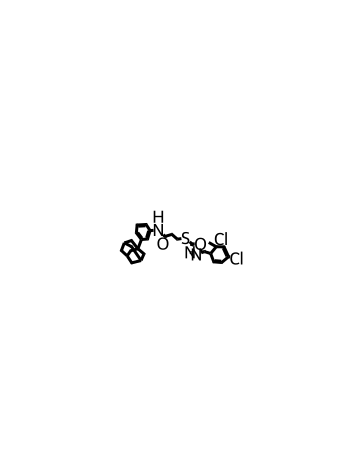 CC1(Cl)C=C(Cl)C=CC1c1nnc(SCCC(=O)Nc2cccc(C34CC5CC(CC(C5)C3)C4)c2)o1